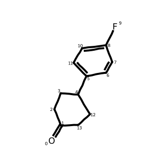 O=C1CCC(c2ccc(F)cc2)CC1